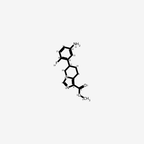 COC(=O)c1ncn2c1CCC(c1cc(N)ccc1F)C2